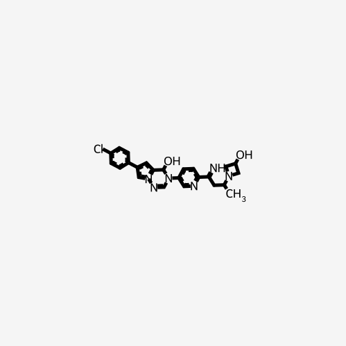 CC(CC(=N)c1ccc(N2C=Nn3cc(-c4ccc(Cl)cc4)cc3C2O)cn1)N1CC(O)C1